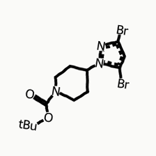 CC(C)(C)OC(=O)N1CCC(n2nc(Br)cc2Br)CC1